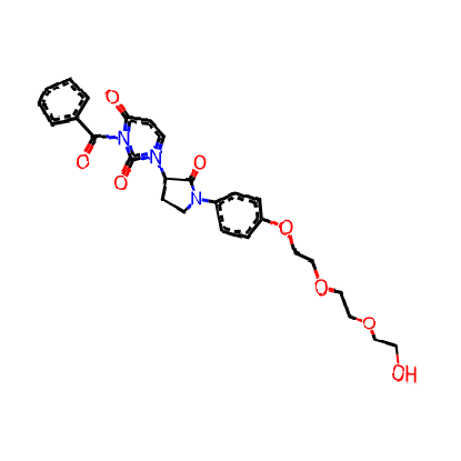 O=C1C(n2ccc(=O)n(C(=O)c3ccccc3)c2=O)CCN1c1ccc(OCCOCCOCCO)cc1